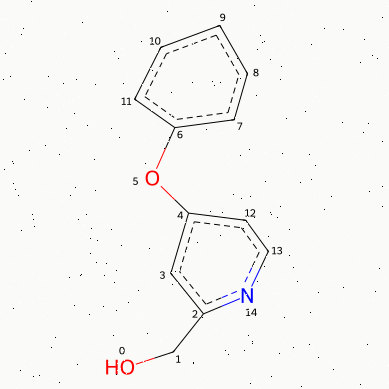 OCc1cc(Oc2ccccc2)ccn1